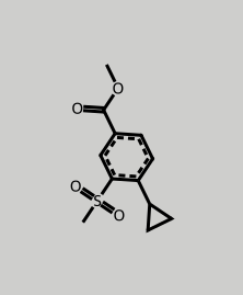 COC(=O)c1ccc(C2CC2)c(S(C)(=O)=O)c1